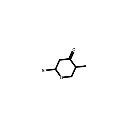 CC1COC(Br)CC1=O